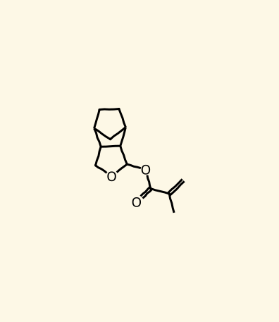 C=C(C)C(=O)OC1OCC2C3CCC(C3)C12